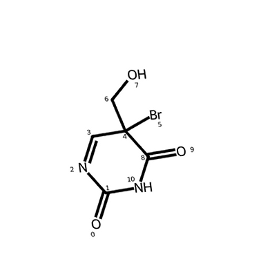 O=C1N=CC(Br)(CO)C(=O)N1